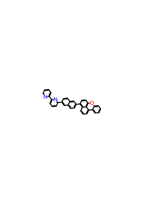 c1ccc(-c2cccc(-c3ccc4cc(-c5ccc6c7c(cccc57)-c5ccccc5O6)ccc4c3)n2)nc1